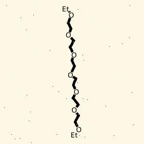 [CH2]COCCOCCOCCOCCOCCOCCOC[CH2]